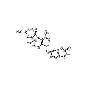 CC(C)O[C@H]1C(=O)N2C(C(=O)O)=C(COc3ccc4ccc(=O)oc4c3)CS[C@H]12